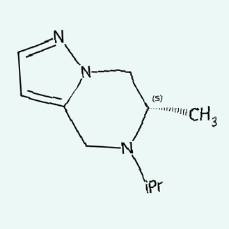 CC(C)N1Cc2ccnn2C[C@@H]1C